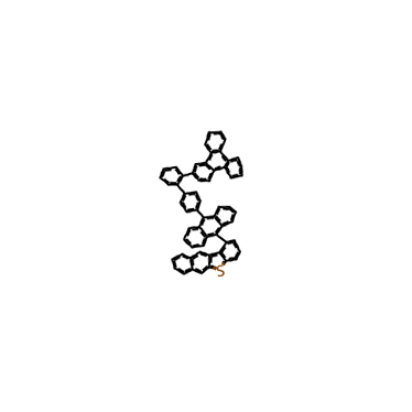 c1ccc(-c2ccc3c4ccccc4c4ccccc4c3c2)c(-c2ccc(-c3c4ccccc4c(-c4cccc5sc6cc7ccccc7cc6c45)c4ccccc34)cc2)c1